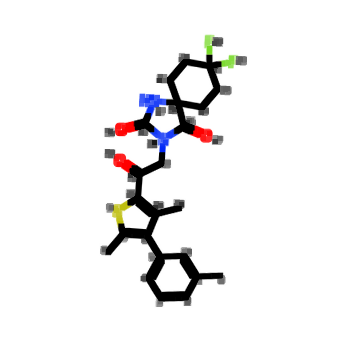 Cc1cccc(-c2c(C)sc(C(=O)CN3C(=O)NC4(CCC(F)(F)CC4)C3=O)c2C)c1